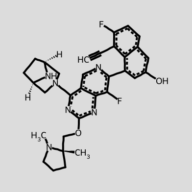 C#Cc1c(F)ccc2cc(O)cc(-c3ncc4c(N5C[C@H]6CC[C@@H](C5)N6)nc(OC[C@]5(C)CCCN5C)nc4c3F)c12